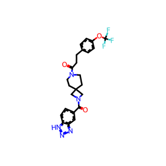 O=C(CCc1ccc(OC(F)(F)F)cc1)N1CCC2(CC1)CN(C(=O)c1ccc3[nH]nnc3c1)C2